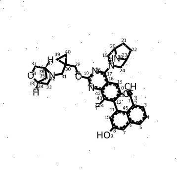 C#Cc1cccc2cc(O)cc(-c3c(C(F)(F)F)cc4c(N5CC6CCC(C5)N6)nc(OCC5(CN6C[C@H]7C[C@@H]6CO7)CC5)nc4c3F)c12